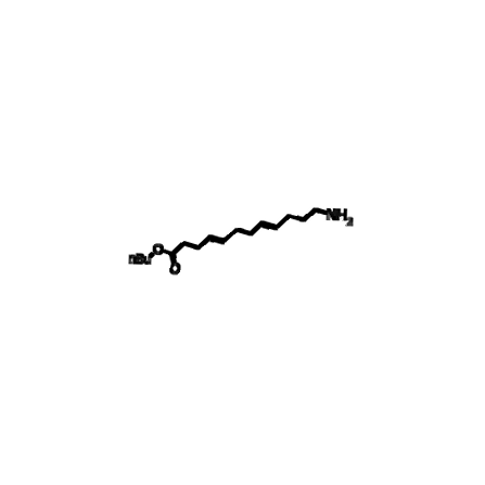 CCCCOC(=O)CCC=CCCC=CCCCN